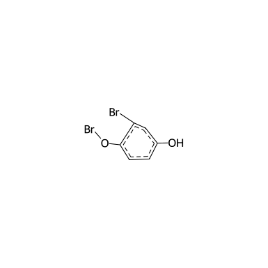 Oc1ccc(OBr)c(Br)c1